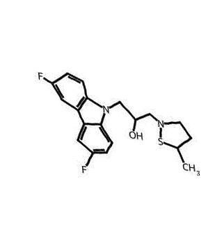 CC1CCN(CC(O)Cn2c3ccc(F)cc3c3cc(F)ccc32)S1